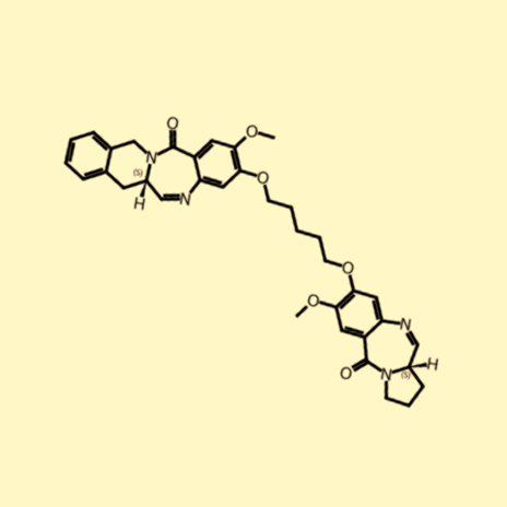 COc1cc2c(cc1OCCCCCOc1cc3c(cc1OC)C(=O)N1Cc4ccccc4C[C@H]1C=N3)N=C[C@@H]1CCCN1C2=O